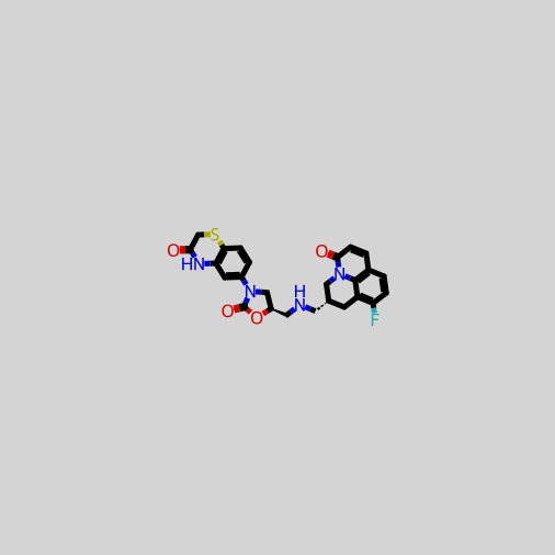 O=C1CSc2ccc(N3C[C@@H](CNC[C@H]4Cc5c(F)ccc6ccc(=O)n(c56)C4)OC3=O)cc2N1